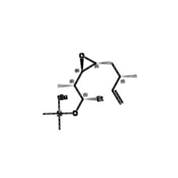 C=C[C@@H](C)C[C@H]1O[C@@H]1[C@@H](C)[C@H](CC)O[Si](C)(C)C(C)(C)C